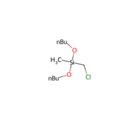 CCCCO[Si](C)(CCl)OCCCC